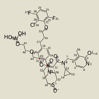 COc1nccc(CN(C(=O)C2=C(c3ccc(CCCOc4c(F)ccc(F)c4Cl)cc3)CC3C[S+]([O-])CC2N3C(=O)OCCOCCON(O)O)C2CC2)c1C